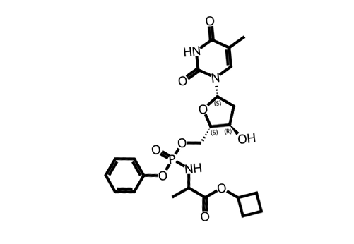 Cc1cn([C@@H]2C[C@@H](O)[C@H](COP(=O)(NC(C)C(=O)OC3CCC3)Oc3ccccc3)O2)c(=O)[nH]c1=O